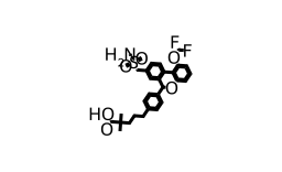 CC(C)(CCCc1ccc(C2Oc3cccc(OC(F)F)c3-c3ccc(CS(N)(=O)=O)cc32)cc1)C(=O)O